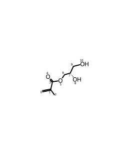 C=C(C)C(=O)OC[C@@H](O)CO